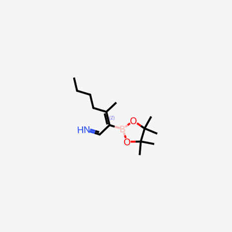 CCCC/C(C)=C(\C=N)B1OC(C)(C)C(C)(C)O1